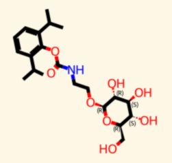 CC(C)c1cccc(C(C)C)c1OC(=O)NCCO[C@@H]1O[C@H](CO)[C@@H](O)[C@H](O)[C@H]1O